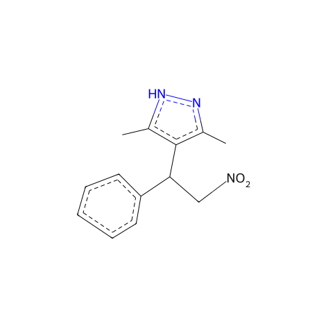 Cc1n[nH]c(C)c1C(C[N+](=O)[O-])c1ccccc1